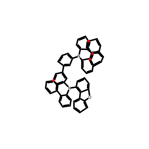 c1ccc(-c2ccccc2N(c2cccc(-c3cccc(N(c4ccccc4-c4ccccc4)c4cccc5oc6ccccc6c45)c3)c2)c2ccccc2-c2ccccc2)cc1